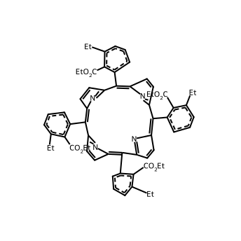 CCOC(=O)c1c(CC)cccc1C1=C2C=CC(=N2)C(c2cccc(CC)c2C(=O)OCC)=C2C=CC(=N2)C(c2cccc(CC)c2C(=O)OCC)=C2C=CC(=N2)C(c2cccc(CC)c2C(=O)OCC)=C2C=CC1=N2